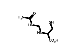 NC(=O)NCNC(CS)C(=O)O